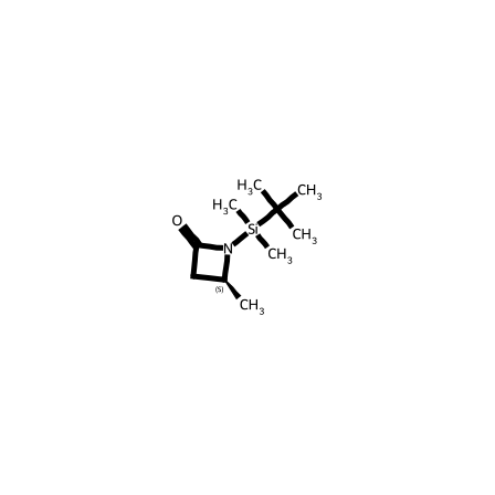 C[C@H]1CC(=O)N1[Si](C)(C)C(C)(C)C